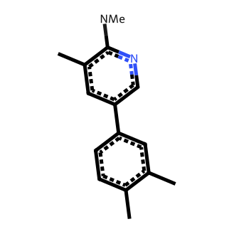 CNc1ncc(-c2ccc(C)c(C)c2)cc1C